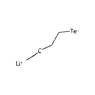 CCCC[Te-].[Li+]